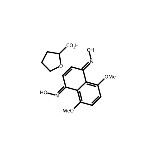 COc1ccc(OC)c2c1C(=NO)C=CC2=NO.O=C(O)C1CCCO1